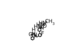 CCNC(=O)Nc1nc2cc(-c3cc(Cc4n[nH]c(=O)c5ccccc45)ccc3F)ccc2[nH]1